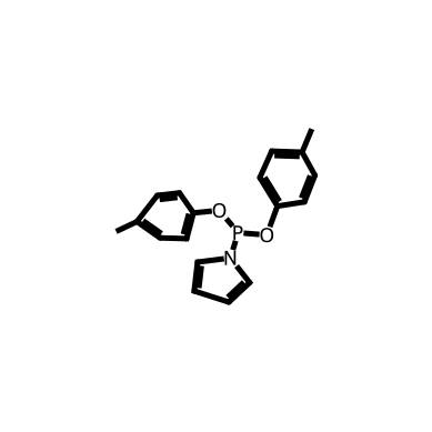 Cc1ccc(OP(Oc2ccc(C)cc2)n2cccc2)cc1